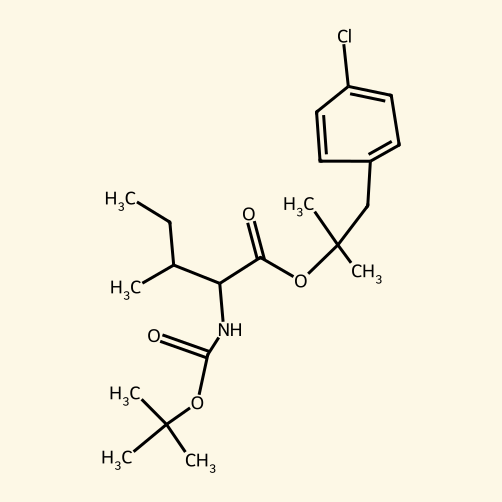 CCC(C)C(NC(=O)OC(C)(C)C)C(=O)OC(C)(C)Cc1ccc(Cl)cc1